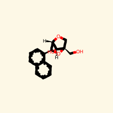 OC[C@@]12CO[C@@H]([C@H](c3cccc4ccccc34)O1)[C@@H]2O